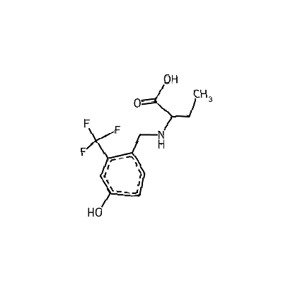 CCC(NCc1ccc(O)cc1C(F)(F)F)C(=O)O